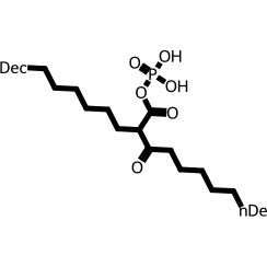 CCCCCCCCCCCCCCCCC(C(=O)CCCCCCCCCCCCCCC)C(=O)OP(=O)(O)O